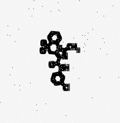 Cc1nc(C(=O)Nc2cccc(Cl)c2)c2n1-c1ccccc1S(=O)(=O)C2